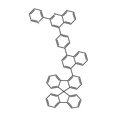 c1ccc(-c2cc(-c3ccc(-c4ccc(-c5cccc6c5-c5ccccc5C65c6ccccc6-c6ccccc65)c5ccccc45)cc3)c3ccccc3n2)nc1